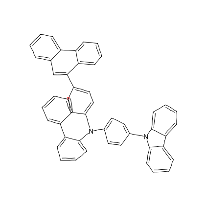 c1ccc(-c2ccccc2N(c2ccc(-c3cc4ccccc4c4ccccc34)cc2)c2ccc(-n3c4ccccc4c4ccccc43)cc2)cc1